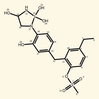 CCc1ccc(OS(C)(=O)=O)c(Cc2ccc(N3CC(O)NS3(O)O)c(O)c2)c1